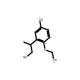 CC(CC#N)c1cc(C#N)ccc1OCC#N